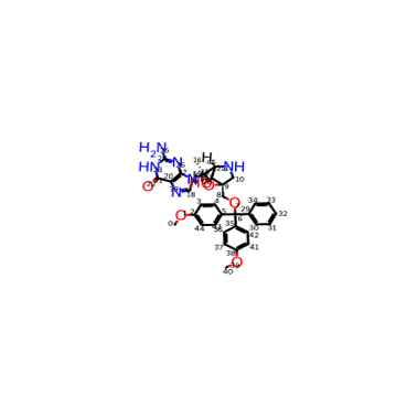 COc1ccc(C(OC[C@]23CN[C@H]([C@@H]2O)[C@](C)(n2cnc4c(=O)[nH]c(N)nc42)O3)(c2ccccc2)c2ccc(OC)cc2)cc1